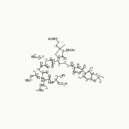 CC(=O)NCSC(C)(C)C(NC(C)=O)C(=O)N(C)[C@@H](CCCNC(=N)NS(=O)(=O)c1c(C)cc2c(c1C)CC(C)(C)O2)C(=O)N[C@@H](COC(C)(C)C)C(=O)N[C@@H](CC(=O)OC(C)(C)C)C(=O)N[C@H](C(=O)N[C@@H](CC(C)C)C(=O)O)C(C)OC(C)(C)C